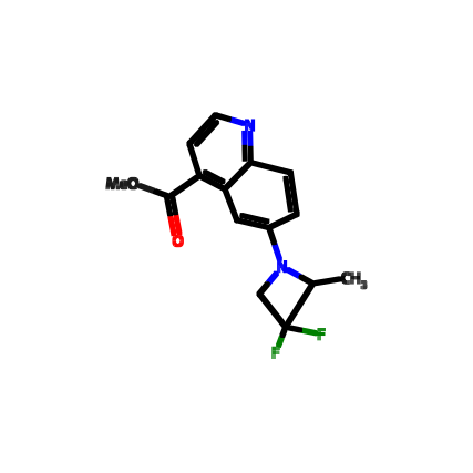 COC(=O)c1ccnc2ccc(N3CC(F)(F)C3C)cc12